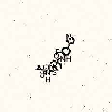 CCC(CC)(C(=O)Nc1ccc(-c2cccnc2)cc1F)c1csc(NS(=O)(=O)C2CC2)n1